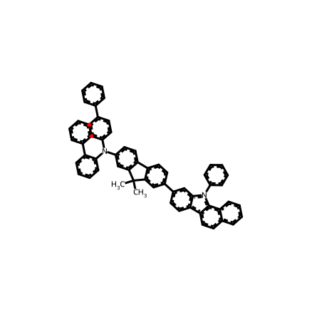 CC1(C)c2cc(-c3ccc4c5ccc6ccccc6c5n(-c5ccccc5)c4c3)ccc2-c2ccc(N(c3ccc(-c4ccccc4)cc3)c3ccccc3-c3ccccc3)cc21